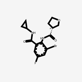 O=C(NC1CC1)c1cc(F)cc(Br)c1NC(=O)[C@@H]1CCOC1